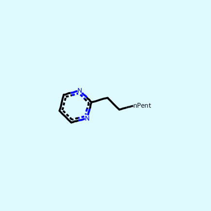 [CH2]CCCCCCc1ncccn1